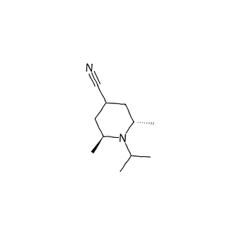 CC(C)N1[C@@H](C)CC(C#N)C[C@@H]1C